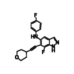 Fc1ccc(Nc2cc3cn[nH]c3c(F)c2C#CC2CCOCC2)cc1